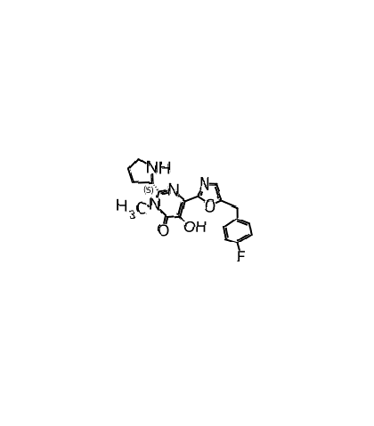 Cn1c([C@@H]2CCCN2)nc(-c2ncc(Cc3ccc(F)cc3)o2)c(O)c1=O